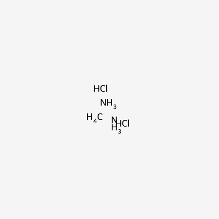 C.Cl.Cl.N.N